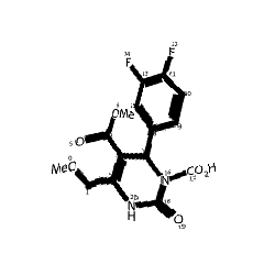 COCC1=C(C(=O)OC)C(c2ccc(F)c(F)c2)N(C(=O)O)C(=O)N1